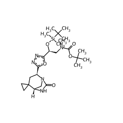 CN(C[C@H](O[Si](C)(C)C(C)(C)C)c1nnc([C@@H]2CC3(CC3)[C@@H]3CN2C(=O)N3)o1)C(=O)OC(C)(C)C